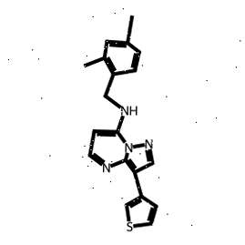 Cc1ccc(CNc2ccnc3c(-c4ccsc4)cnn23)c(C)c1